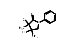 CC1(O)CP(c2ccccc2)C(=O)C1(C)Cl